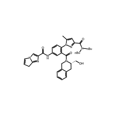 CCCCN(CCCC)C(=O)c1cc(C)n(-c2ccc(NC(=O)c3cn4c(n3)CC=C4)cc2C(=O)N2Cc3ccccc3C[C@H]2CO)n1